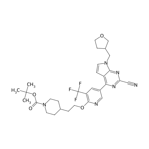 CC(C)(C)OC(=O)N1CCC(CCOc2ncc(-c3nc(C#N)nc4c3ccn4CC3CCOC3)cc2C(F)(F)F)CC1